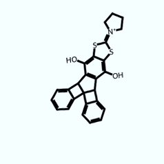 Oc1c2c(c(O)c3sc(=[N+]4CCCC4)sc13)C1c3ccccc3C13c1ccccc1C23